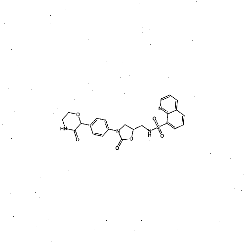 O=C1NCCOC1c1ccc(N2CC(CNS(=O)(=O)c3cccc4cccnc34)OC2=O)cc1